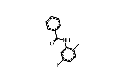 Cc1ccc(I)cc1NC(=O)c1ccccc1